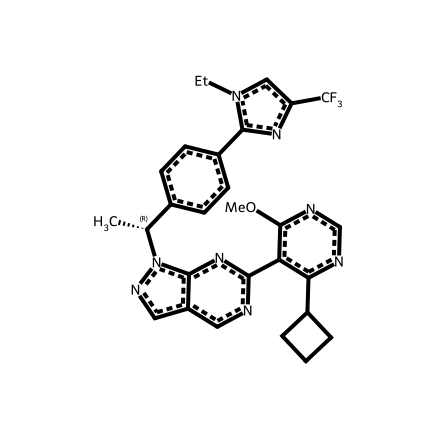 CCn1cc(C(F)(F)F)nc1-c1ccc([C@@H](C)n2ncc3cnc(-c4c(OC)ncnc4C4CCC4)nc32)cc1